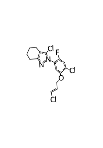 Fc1cc(Cl)c(OCC=CCl)cc1-n1nc2c(c1Cl)CCCC2